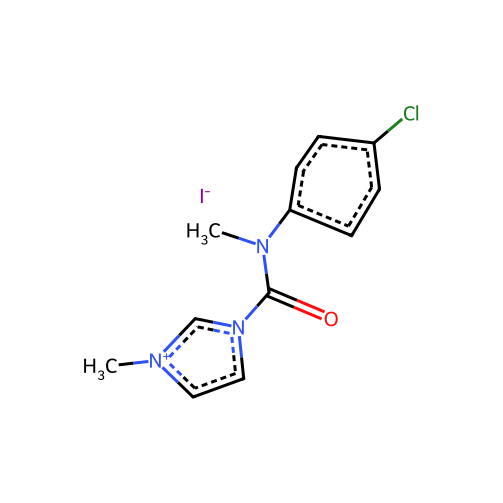 CN(C(=O)n1cc[n+](C)c1)c1ccc(Cl)cc1.[I-]